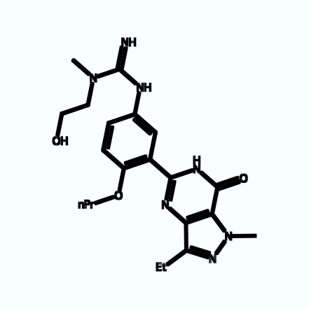 CCCOc1ccc(NC(=N)N(C)CCO)cc1-c1nc2c(CC)nn(C)c2c(=O)[nH]1